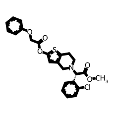 COC(=O)[C@H](c1ccccc1Cl)N1CCc2sc(OC(=O)COc3ccccc3)cc2C1